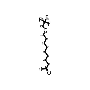 O=C(I)CCCCCCCCOCC(F)(F)F